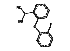 N#CC(O)c1ccccc1Oc1ccccc1F